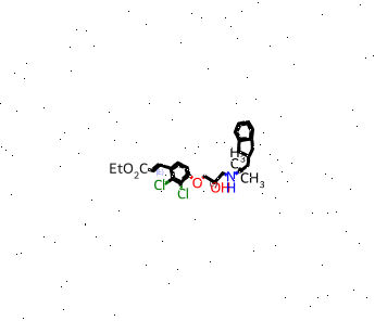 CCOC(=O)/C=C/c1ccc(OC[C@@H](O)CNC(C)(C)CC2Cc3ccccc3C2)c(Cl)c1Cl